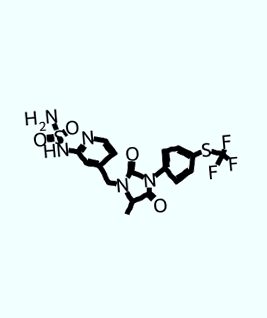 CC1C(=O)N(c2ccc(SC(F)(F)F)cc2)C(=O)N1Cc1ccnc(NS(N)(=O)=O)c1